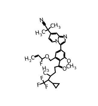 C=CC(F)OCc1cc(-c2cnc3cc(C(C)(C)C#N)ccn23)cc(OC)c1C(=O)CCC(C)C(C1CC1)C(F)(F)F